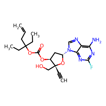 C#C[C@]1(CO)O[C@@H](n2cnc3c(N)nc(F)nc32)C[C@@H]1OC(=O)OC(CC)(CC)CC=C